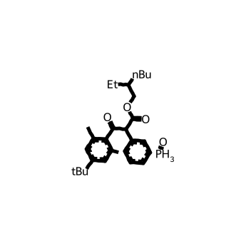 CCCCC(CC)COC(=O)C(C(=O)c1c(C)cc(C(C)(C)C)cc1C)c1ccccc1.O=[PH3]